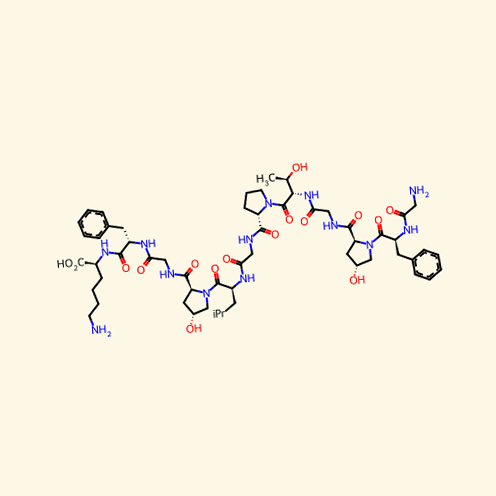 CC(C)C[C@H](NC(=O)CNC(=O)[C@@H]1CCCN1C(=O)[C@@H](NC(=O)CNC(=O)[C@@H]1C[C@@H](O)CN1C(=O)[C@H](Cc1ccccc1)NC(=O)CN)[C@@H](C)O)C(=O)N1C[C@H](O)C[C@H]1C(=O)NCC(=O)N[C@@H](Cc1ccccc1)C(=O)N[C@@H](CCCCN)C(=O)O